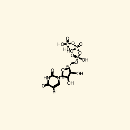 O=c1[nH]c(=O)n([C@@H]2O[C@H](COP(=O)(O)OP(=O)(O)OP(=O)(O)O)C(O)C2O)cc1Br